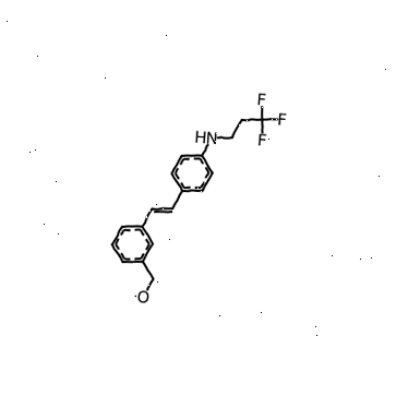 [O]Cc1cccc(C=Cc2ccc(NCCC(F)(F)F)cc2)c1